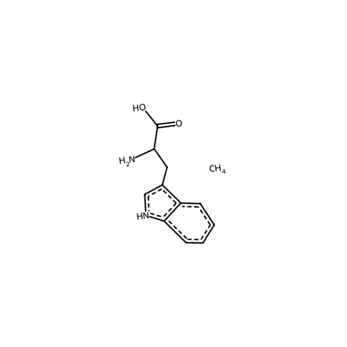 C.NC(Cc1c[nH]c2ccccc12)C(=O)O